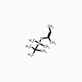 C/C=C(/C)O[Si](C)(C)C(C)(C)C